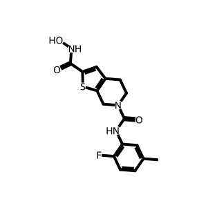 Cc1ccc(F)c(NC(=O)N2CCc3cc(C(=O)NO)sc3C2)c1